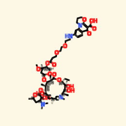 CC[C@H]1OC(=O)[C@H](C)[C@@H](O[C@H]2C[C@@](C)(OC)[C@@H](OC(=O)CCOCCOCCNc3ccc4c(=O)c(C(=O)O)c5n(c4c3)CCCO5)[C@H](C)O2)[C@H](C)[C@@H](O[C@@H]2O[C@H](C)C[C@H](N(C)C)[C@H]2O)[C@](C)(O)C[C@@H](C)CN(C)[C@H](C)[C@@H](O)[C@]1(C)O